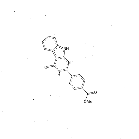 COC(=O)c1ccc(-c2nc3[nH]c4ccccc4c3c(=O)[nH]2)cc1